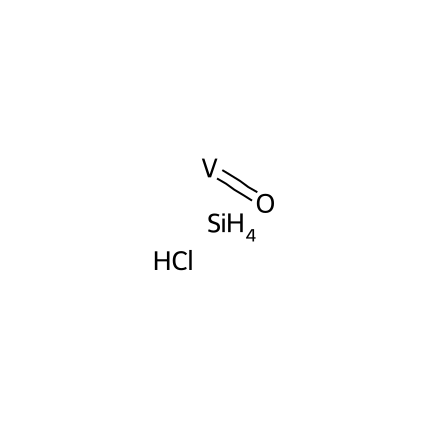 Cl.[O]=[V].[SiH4]